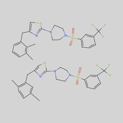 Cc1ccc(C)c(Cc2csc(N3CCN(S(=O)(=O)c4cccc(C(F)(F)F)c4)CC3)n2)c1.Cc1cccc(Cc2csc(N3CCN(S(=O)(=O)c4cccc(C(F)(F)F)c4)CC3)n2)c1C